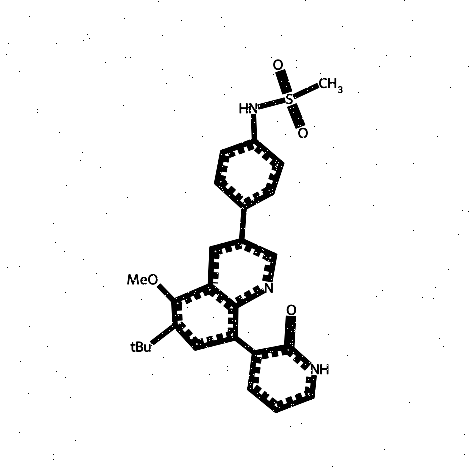 COc1c(C(C)(C)C)cc(-c2ccc[nH]c2=O)c2ncc(-c3ccc(NS(C)(=O)=O)cc3)cc12